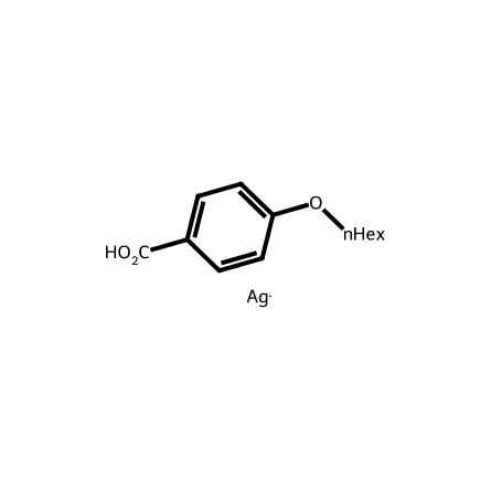 CCCCCCOc1ccc(C(=O)O)cc1.[Ag]